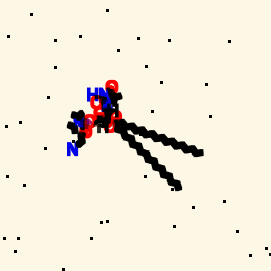 CCCCCCCCCCCCCCCCCC1(CCCCCCCCCCCCCCCCC)O[C@@H]2[C@H](O1)[C@@H](COP(OCCC#N)N(C(C)C)C(C)C)O[C@H]2n1cc(C)c(=O)[nH]c1=O